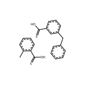 Cc1ccccc1C(O)=S.OC(=S)c1cccc(Cc2ccccc2)c1